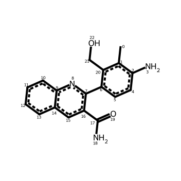 Cc1c(N)ccc(-c2nc3ccccc3cc2C(N)=O)c1CO